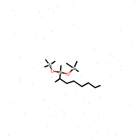 CCCCCCC(C)[Si](C)(O[Si](C)(C)C)O[Si](C)(C)C